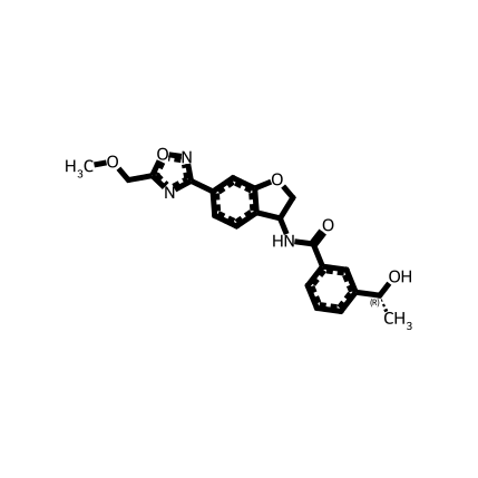 COCc1nc(-c2ccc3c(c2)OCC3NC(=O)c2cccc([C@@H](C)O)c2)no1